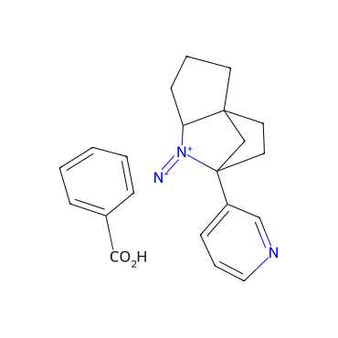 O=C(O)c1ccccc1.[N-]=[N+]1C2CCCC23CCC1(c1cccnc1)C3